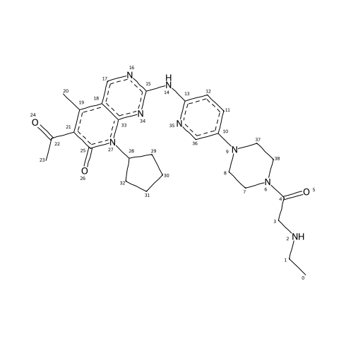 CCNCC(=O)N1CCN(c2ccc(Nc3ncc4c(C)c(C(C)=O)c(=O)n(C5CCCC5)c4n3)nc2)CC1